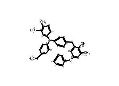 CCc1ccc(N(c2ccc(Cc3cc(Oc4ccccc4)cc(C)c3O)cc2)c2ccc(C)c(C)c2)cc1